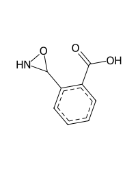 O=C(O)c1ccccc1C1NO1